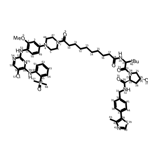 COc1cc(N2CCN(C(=O)CCCCCCCCC(=O)NC(C(=O)N3C[C@H](O)C[C@H]3C(=O)NCc3ccc(-c4scnc4C)cc3)C(C)(C)C)CC2)ccc1Nc1ncc(Cl)c(Nc2ccccc2P(C)(C)=O)n1